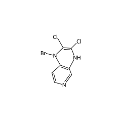 ClC1=C(Cl)N(Br)c2ccncc2N1